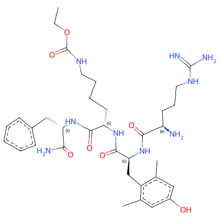 CCOC(=O)NCCCC[C@H](NC(=O)[C@H](Cc1c(C)cc(O)cc1C)NC(=O)[C@H](N)CCCNC(=N)N)C(=O)N[C@@H](Cc1ccccc1)C(N)=O